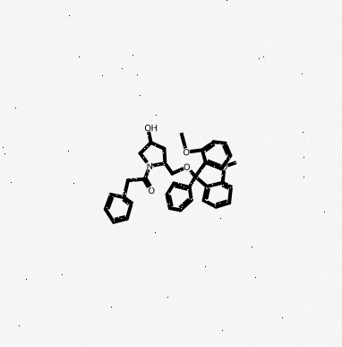 COc1ccccc1C(OCC1CC(O)CN1C(=O)Cc1ccccc1)(c1ccccc1)c1ccccc1OC